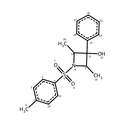 Cc1ccc(S(=O)(=O)N2C(C)C(O)(c3ccccc3)C2C)cc1